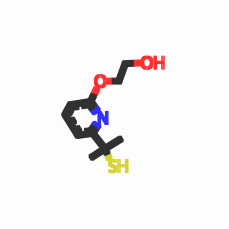 CC(C)(S)c1cccc(OCCO)n1